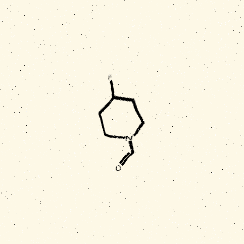 O=[C]N1CCC(F)CC1